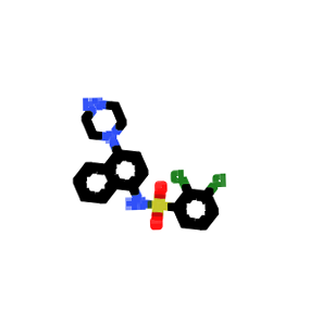 O=S(=O)(Nc1ccc(N2CCNCC2)c2ccccc12)c1cccc(Cl)c1Cl